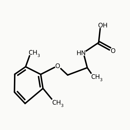 Cc1cccc(C)c1OCC(C)NC(=O)O